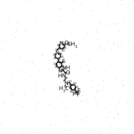 CCN(CCNC(=O)c1nc2ccc(C3CCN(Cc4ccc(OC)nc4)CC3)c(F)c2[nH]1)Cc1ccc(C(F)(F)F)cc1